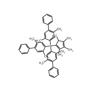 CC1=C(C)C(C)C([Si](c2cc(C)c(-c3ccccc3)cc2C)(c2cc(C)c(-c3ccccc3)cc2C)c2cc(C)c(-c3ccccc3)cc2C)=C1C